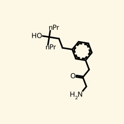 CCCC(O)(CCC)CCc1cccc(CC(=O)CN)c1